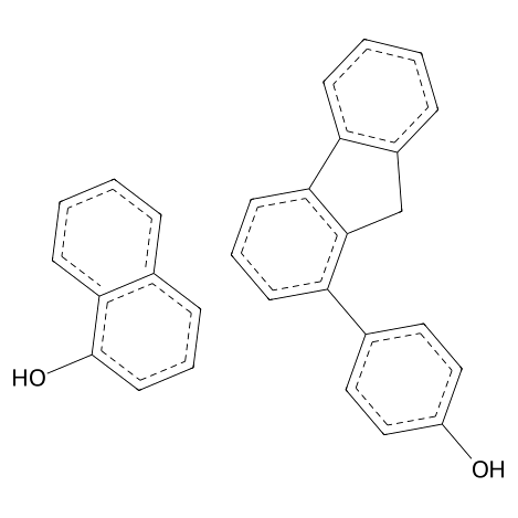 Oc1ccc(-c2cccc3c2Cc2ccccc2-3)cc1.Oc1cccc2ccccc12